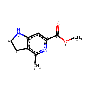 COC(=O)c1cc2c(c(C)n1)CCN2